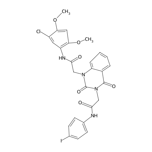 COc1cc(OC)c(NC(=O)Cn2c(=O)n(CC(=O)Nc3ccc(I)cc3)c(=O)c3ccccc32)cc1Cl